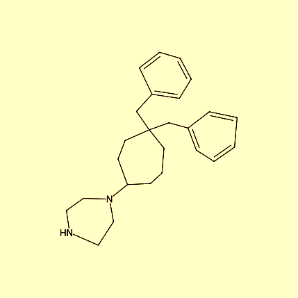 c1ccc(CC2(Cc3ccccc3)CCCC(N3CCNCC3)CC2)cc1